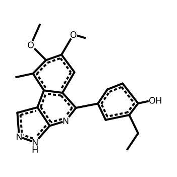 CCc1cc(-c2nc3[nH]ncc3c3c(C)c(OC)c(OC)cc23)ccc1O